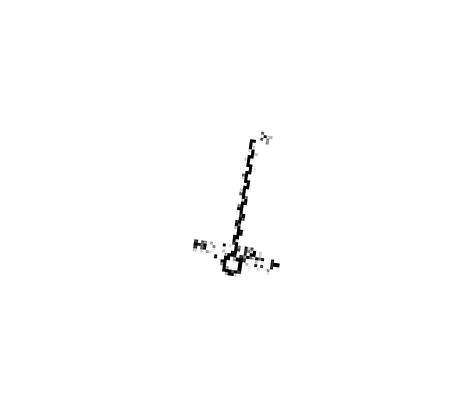 CCC(C)C1(C(=O)O)CC=CCC1(CCCCCCCCCCCCCCC(C)C)C(=O)O